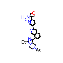 CCc1nc(-c2cccc3cc(-c4ccc(C5(N)COC5)nc4)ncc23)c2n1CCN(C(C)=O)C2